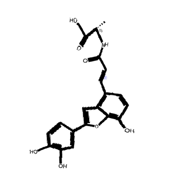 C[C@H](NC(=O)/C=C/c1ccc(O)c2oc(-c3ccc(O)c(O)c3)cc12)C(=O)O